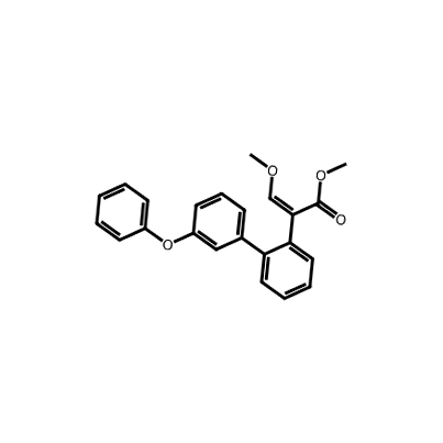 COC=C(C(=O)OC)c1ccccc1-c1cccc(Oc2ccccc2)c1